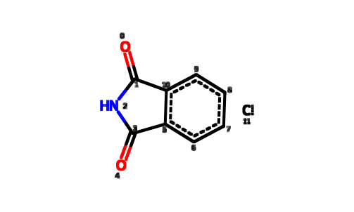 O=C1NC(=O)c2ccccc21.[C]